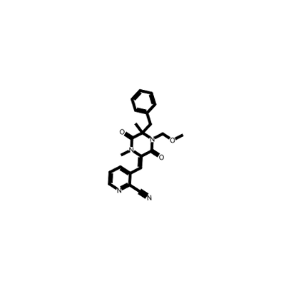 COCN1C(=O)/C(=C/c2cccnc2C#N)N(C)C(=O)C1(C)Cc1ccccc1